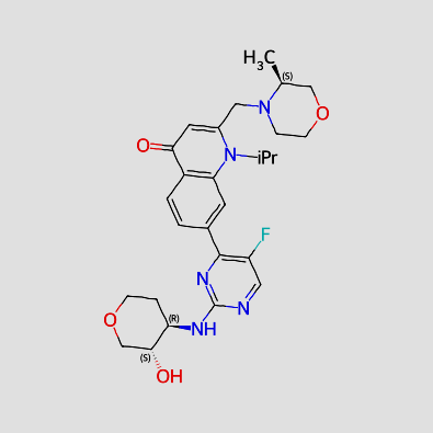 CC(C)n1c(CN2CCOC[C@@H]2C)cc(=O)c2ccc(-c3nc(N[C@@H]4CCOC[C@H]4O)ncc3F)cc21